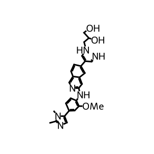 COc1cc(-c2cnc(C)n2C)ccc1Nc1cc2cc(/C(C=N)=C/NCC(O)CO)ccc2cn1